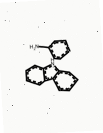 Nc1ccccc1.c1ccc2c(c1)[nH]c1ccccc12